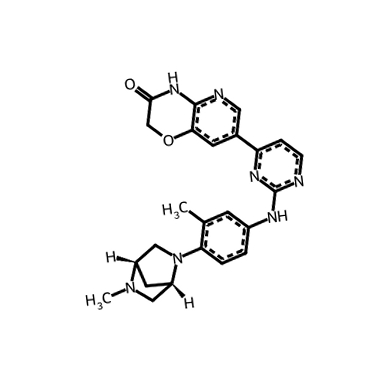 Cc1cc(Nc2nccc(-c3cnc4c(c3)OCC(=O)N4)n2)ccc1N1C[C@@H]2C[C@H]1CN2C